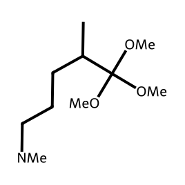 CNCCCC(C)C(OC)(OC)OC